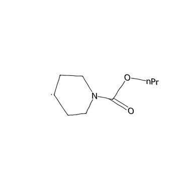 CCCOC(=O)N1CC[CH]CC1